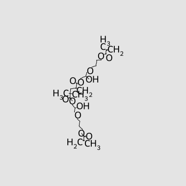 C=C(C)C(=O)OCCCCOCC(O)COC(=O)C(=C)CC(C)(C)C(=O)OCC(O)COCCCCOC(=O)C(=C)C